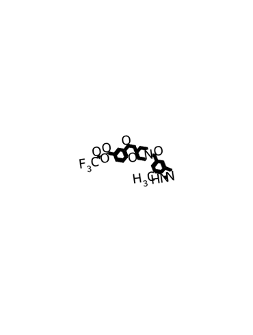 Cc1cc(C(=O)N2CCC3(CC2)CC(=O)c2cc(C(=O)OC(=O)C(F)(F)F)ccc2O3)cc2cn[nH]c12